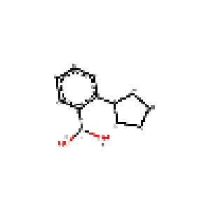 OB(O)c1ccccc1C1CCCC1